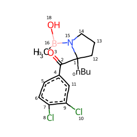 CCCCC1(C(=O)c2ccc(Cl)c(Cl)c2)CCCN1B(C)O